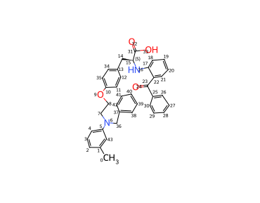 Cc1cccc(N(CCOc2ccc(C[C@H](Nc3ccccc3C(=O)c3ccccc3)C(=O)O)cc2)Cc2ccccc2)c1